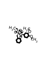 CCS(=O)(=O)N(Cc1ccccc1)S(=O)(=O)c1ccc(OC)c(OC)c1